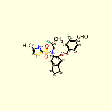 Cc1csc(S(=O)(=O)N(C[C@@H](C)F)c2cc3c(cc2OCc2ccc(C=O)c(F)c2)CCC3)n1